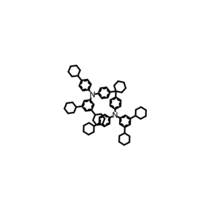 c1cc(N(c2ccc(C3(c4ccc(N(c5ccc(C6CCCCC6)cc5)c5cc(C6CCCCC6)cc(C6CCCCC6)c5)cc4)CCCCC3)cc2)c2cc(C3CCCCC3)cc(C3CCCCC3)c2)ccc1C1CCCCC1